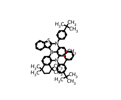 Cc1cc2c3c(c1)N(c1ccc(C(C)(C)C)cc1-c1ccccc1)c1c(ccc4c1C(C)(C)CCC4(C)C)B3c1c(sc3ccccc13)N2c1ccc(C(C)(C)C)cc1